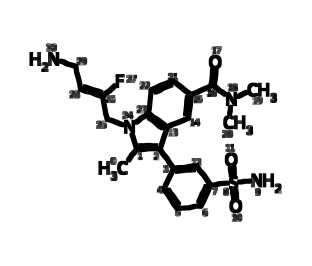 Cc1c(-c2cccc(S(N)(=O)=O)c2)c2cc(C(=O)N(C)C)ccc2n1CC(F)=CCN